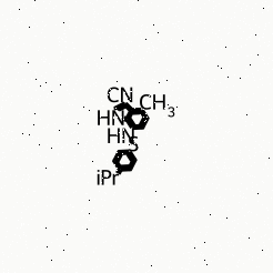 Cc1ccc(NSc2ccc(C(C)C)cc2)c2[nH]cc(C#N)c12